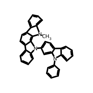 Cn1c2ccccc2c2ccc3c4ccccc4n(-c4ccc5c6ccccc6n(-c6ccccc6)c5c4)c3c21